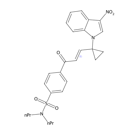 CCCN(CCC)S(=O)(=O)c1ccc(C(=O)/C=C/C2(n3cc([N+](=O)[O-])c4ccccc43)CC2)cc1